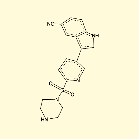 N#Cc1ccc2[nH]cc(-c3ccc(S(=O)(=O)N4CCNCC4)nc3)c2c1